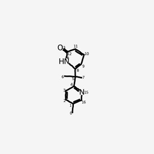 Cc1ccc(C(C)(C)c2cccc(=O)[nH]2)nc1